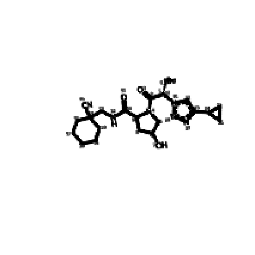 CC(C)(C)[C@@H](C(=O)N1CC(O)CC1C(=O)NCC1(C#N)CCCCC1)n1cc(C2CC2)nn1